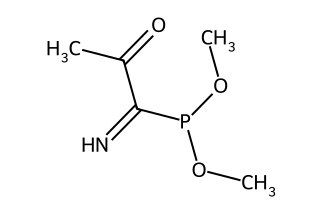 COP(OC)C(=N)C(C)=O